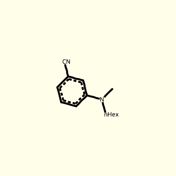 CCCCCCN(C)c1cccc(C#N)c1